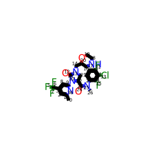 Cc1cc(C(F)(F)F)cc(N2C(=O)N(CC3CNCCO3)CC2C(=O)N(C)c2ccc(F)c(Cl)c2F)n1